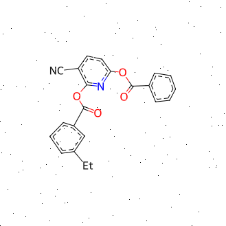 CCc1cccc(C(=O)Oc2nc(OC(=O)c3ccccc3)ccc2C#N)c1